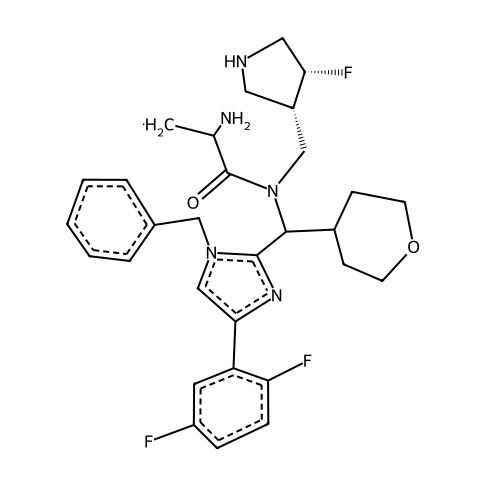 [CH2]C(N)C(=O)N(C[C@@H]1CNC[C@@H]1F)C(c1nc(-c2cc(F)ccc2F)cn1Cc1ccccc1)C1CCOCC1